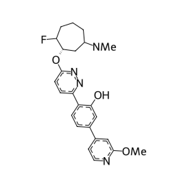 CNC1CCCC(F)[C@@H](Oc2ccc(-c3ccc(-c4ccnc(OC)c4)cc3O)nn2)C1